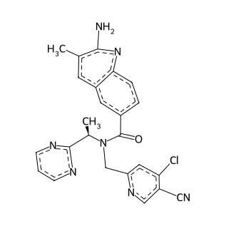 Cc1cc2cc(C(=O)N(Cc3cc(Cl)c(C#N)cn3)[C@H](C)c3ncccn3)ccc2nc1N